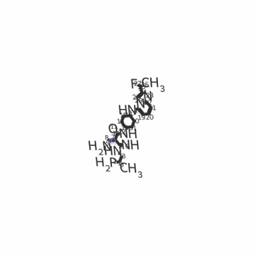 CC(P)CNC(=N)/C(=C\N)C(=O)NC1CCC(Nc2cccc3nc(C(C)F)cn23)CC1